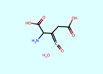 NC(C(=O)O)C(=C=O)CC(=O)O.O